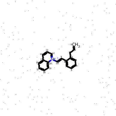 C=CCc1ccccc1/C=C/[n+]1cccc2ccccc21